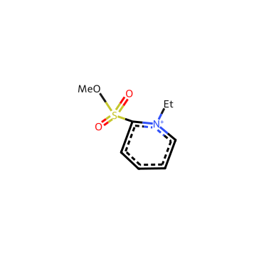 CC[n+]1ccccc1S(=O)(=O)OC